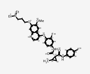 CCN(CC)CCCOc1cc2nccc(Oc3ccc(NC(=O)[C@]4(C(=O)Nc5ccc(F)cc5)CC4C)cc3F)c2cc1OC